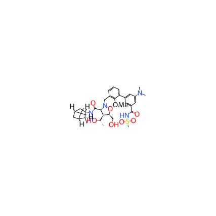 COc1c(CN2O[C@@H](CO)[C@@H]([C@H](C)O)[C@H]2C(=O)N[C@H]2C[C@H]3C[C@@H]([C@@H]2C)C3(C)C)cccc1-c1cc(C(=O)NS(C)(=O)=O)cc(N(C)C)c1